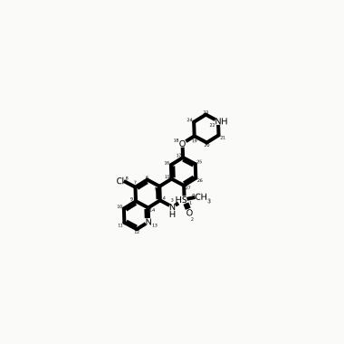 C[SH]1(=O)Nc2c(cc(Cl)c3cccnc23)-c2cc(OC3CCNCC3)ccc21